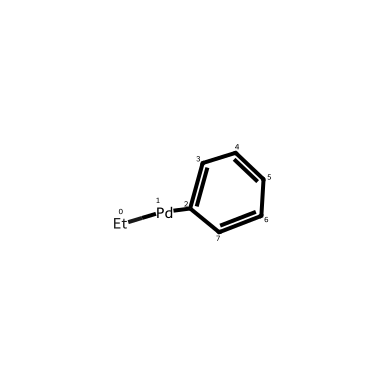 C[CH2][Pd][c]1ccccc1